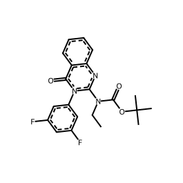 CCN(C(=O)OC(C)(C)C)c1nc2ccccc2c(=O)n1-c1cc(F)cc(F)c1